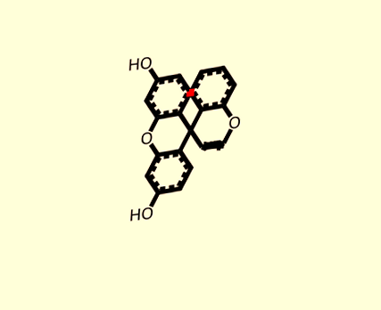 Oc1ccc2c(c1)Oc1cc(O)ccc1C21c2ccccc2Oc2ccccc21